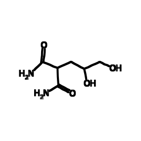 NC(=O)C(CC(O)CO)C(N)=O